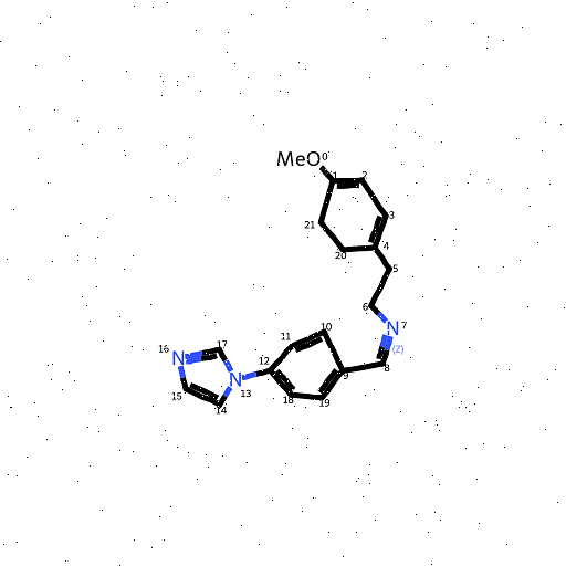 COC1=CC=C(CC/N=C\c2ccc(-n3ccnc3)cc2)CC1